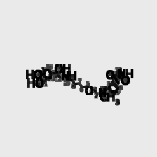 CN(CCOCCCCCCNC[C@@H](O)c1ccc(O)c(CO)c1)Cc1cccc(N2C(=O)CNC2=O)c1